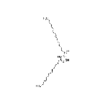 CCCCCCCCCCCCCCC[C@@H](O)[C@H](CO)NC(=O)CCCCCCCCCCCCC